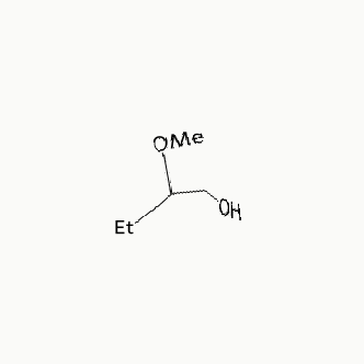 [CH2]OC(O)CC